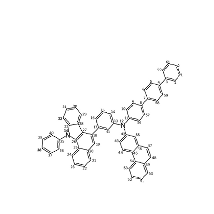 c1ccc(-c2ccc(-c3ccc(N(c4cccc(-c5cc6ccccc6c6c5c5ccccc5n6-c5ccccc5)c4)c4ccc5c(ccc6ccccc65)c4)cc3)cc2)cc1